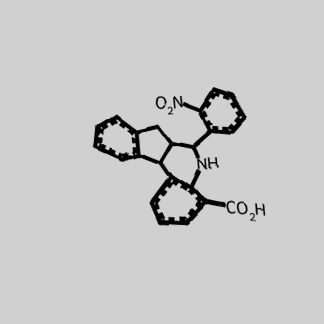 O=C(O)c1cccc2c1NC(c1ccccc1[N+](=O)[O-])C1Cc3ccccc3C21